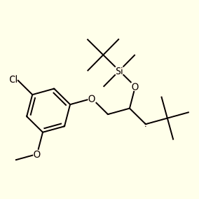 COc1cc(Cl)cc(OCC([CH]C(C)(C)C)O[Si](C)(C)C(C)(C)C)c1